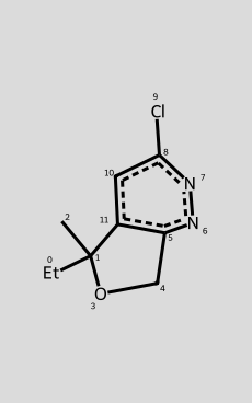 CCC1(C)OCc2nnc(Cl)cc21